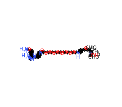 C/C(=C\C(C)CCC(CCC1CCC(NCCOCCOCCOCCOCCOCCOCCOCCOCCC(=O)N2CCc3cc(Cn4nc(-c5ccc6oc(N)nc6c5)c5c(N)ncnc54)ccc3C2)CC1)OC=O)C(O)CC=O